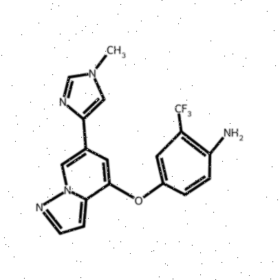 Cn1cnc(-c2cc(Oc3ccc(N)c(C(F)(F)F)c3)c3ccnn3c2)c1